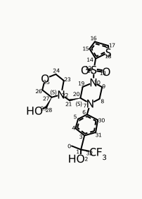 CC(O)(c1ccc(N2CCN(S(=O)(=O)c3cccs3)C[C@@H]2CN2CCOC[C@@H]2CO)cc1)C(F)(F)F